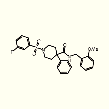 COc1ccccc1CNC(=O)C1(c2ccccc2)CCN(S(=O)(=O)c2cccc(F)c2)CC1